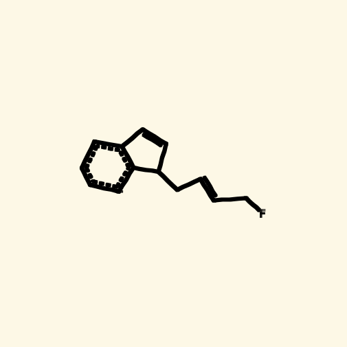 FC/C=C/CC1C=Cc2ccc[c]c21